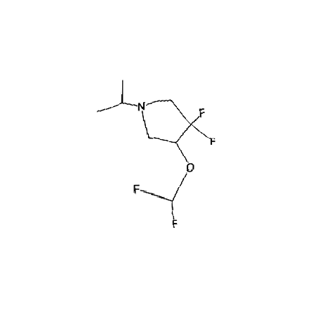 CC(C)N1CC(OC(F)F)C(F)(F)C1